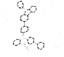 CCS(=O)(=O)c1ccccc1N(c1ccc(-c2ccccc2)cc1)c1ccc(-c2ccc3c(c2)c2ccccc2n3-c2ccccc2)cc1